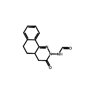 O=CNN1N=C2c3ccccc3CCC2CC1=O